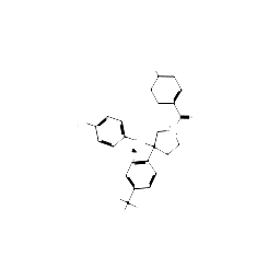 O=C(O)C1CC=C(C(=O)N2CCC(c3ccc(C(F)(C(F)(F)F)C(F)(F)F)cc3)(S(=O)(=O)c3ccc(F)cc3)C2)CC1